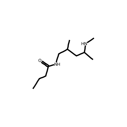 CCCC(=O)NCC(C)CC(C)NC